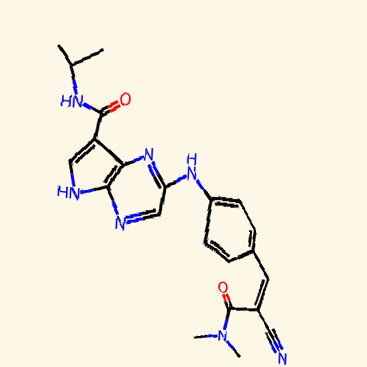 CC(C)NC(=O)c1c[nH]c2ncc(Nc3ccc(C=C(C#N)C(=O)N(C)C)cc3)nc12